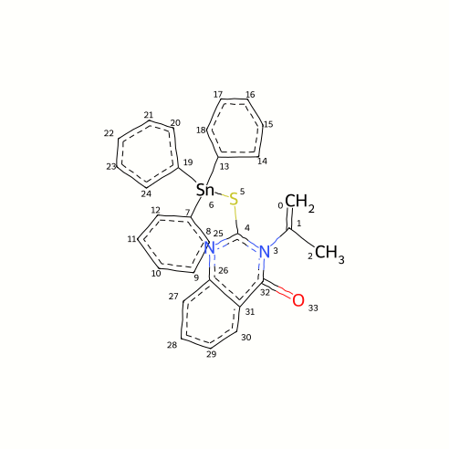 C=C(C)n1c([S][Sn]([c]2ccccc2)([c]2ccccc2)[c]2ccccc2)nc2ccccc2c1=O